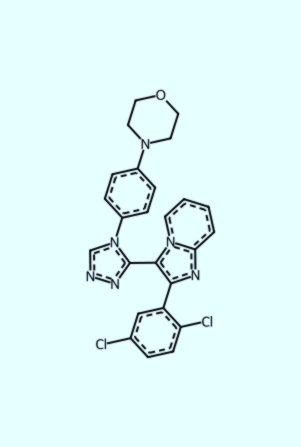 Clc1ccc(Cl)c(-c2nc3ccccn3c2-c2nncn2-c2ccc(N3CCOCC3)cc2)c1